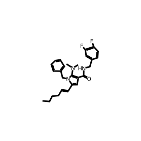 CCCC/C=C/c1cc(C(=O)NCc2ccc(F)c(F)c2)c(N(C)C)n1Cc1ccccc1